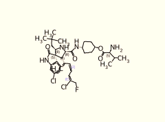 C=C(/C=C\C=C(\Cl)CF)[C@H]1[C@H](C(=O)N[C@H]2CC[C@H](OC(=O)[C@@H](N)C(C)C)CC2)N[C@H](CC(C)(C)C)[C@]12C(=O)Nc1cc(Cl)ccc12